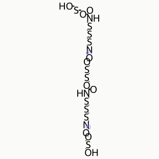 O=C(NCSCSCSC/N=C/OOCSCSCOC(=O)NCSCSCSC/N=C/OOCSCO)OCSCO